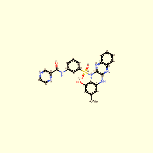 COc1cc(O)cc(Nc2nc3ccccc3nc2NS(=O)(=O)c2cccc(NC(=O)c3cnccn3)c2)c1